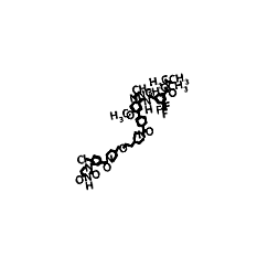 COc1cc2nc(C)nc(N[C@H](C)c3cc(C(=O)OC(C)(C)C)cc(C(F)(F)F)c3)c2cc1C1=CCC(C(=O)N2CCC(CCOCC3CCN(C(=O)c4ccc(Cl)c(N5CCC(=O)NC5=O)c4)CC3)CC2)CC1